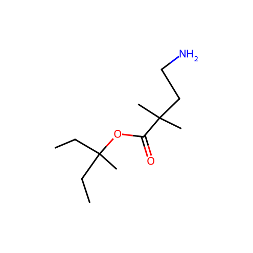 CCC(C)(CC)OC(=O)C(C)(C)CCN